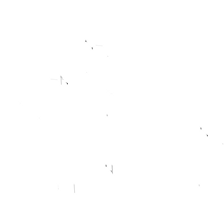 CC1=CC(=O)C(NC(N)=O)=CC1=Nc1cc(C)c(N)cc1C